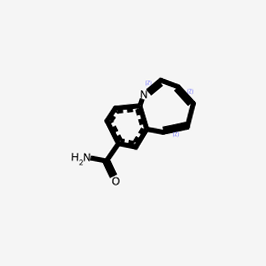 NC(=O)c1ccc2c(c1)\C=C/C=C\C=N/2